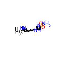 CC1(C)CC(CCCCNc2ccc(S(N)(=O)=O)nc2)CN1